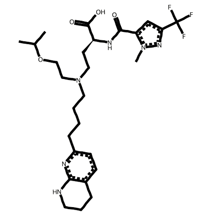 CC(C)OCCN(CCCCc1ccc2c(n1)NCCC2)CC[C@H](NC(=O)c1cc(C(F)(F)F)nn1C)C(=O)O